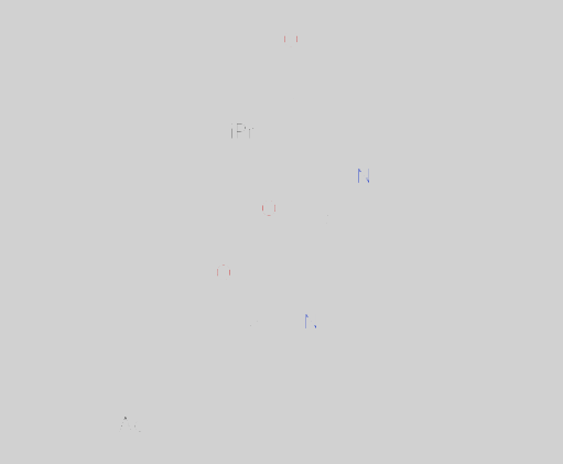 CC(=O)CCC(=O)N1CCC[C@H]1C(=O)N1CCC[C@H]1C(=O)C(C)C